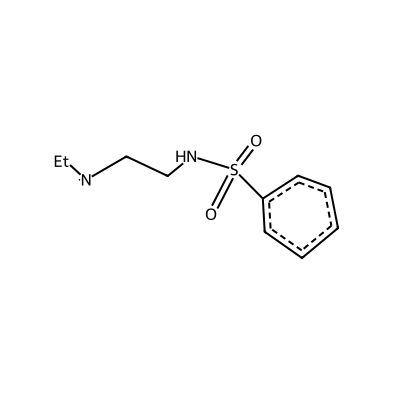 CC[N]CCNS(=O)(=O)c1ccccc1